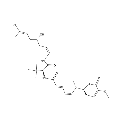 COC1=CC[C@@H]([C@@H](C)/C=C\C=C\C(=O)N[C@H](C(=O)N/C=C\C[C@@H](O)C/C=C(\C)Cl)C(C)(C)C)OC1=O